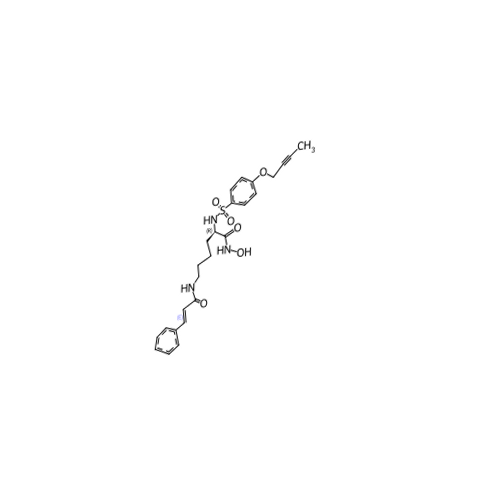 CC#CCOc1ccc(S(=O)(=O)N[C@H](CCCCNC(=O)/C=C/c2ccccc2)C(=O)NO)cc1